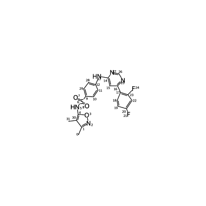 Cc1noc(NS(=O)(=O)c2ccc(Nc3cc(-c4ccc(F)cc4F)ncn3)cc2)c1C